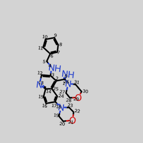 N=C(c1c(NCc2ccccc2)cnc2ccc(N3CCOCC3)cc12)N1CCOCC1